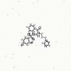 O=C(NCCCn1ccnc1)c1ccccc1NS(=O)(=O)c1ccc(F)cc1F